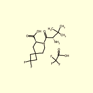 CC(C)(C)[C@H](N)C(=O)N1CCC2(C[C@H]1C(=O)O)CC(F)(F)C2.O=C(O)C(F)(F)F